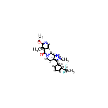 COc1nccc(C(=O)N2CCc3c(nn(C)c3-c3cccc(C(C)(F)F)c3)C2)c1C